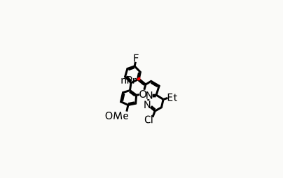 CCC/C=C(/C=C\C1=NN=C(Cl)CC1CC)Oc1cc(OC)ccc1-c1ccc(F)cc1